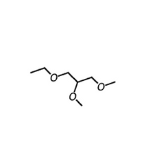 CCOCC(COC)OC